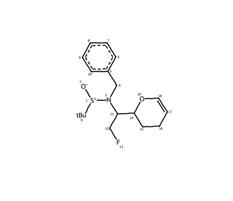 CC(C)(C)[S+]([O-])N(Cc1ccccc1)C(CF)C1CCC=CO1